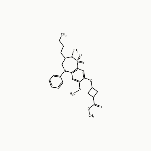 CCCCC1CN(c2ccccc2)c2cc(SC)c(OC3CC(C(=O)OC)C3)cc2S(=O)(=O)N1C